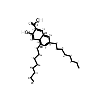 CCCCCCCCc1cc(CCCCCCCC)c2cc(O)c(C(=O)O)cc2c1